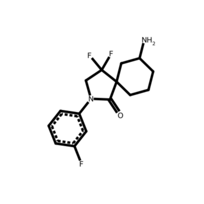 NC1CCCC2(C1)C(=O)N(c1cccc(F)c1)CC2(F)F